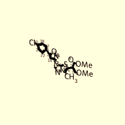 COC=C(C(=O)OC)C1=C(C)N2N=CN(c3cc(-c4ccc(Cl)cc4)on3)C2S1